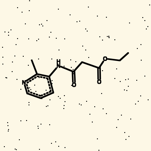 CCOC(=O)CC(=O)Nc1cccnc1C